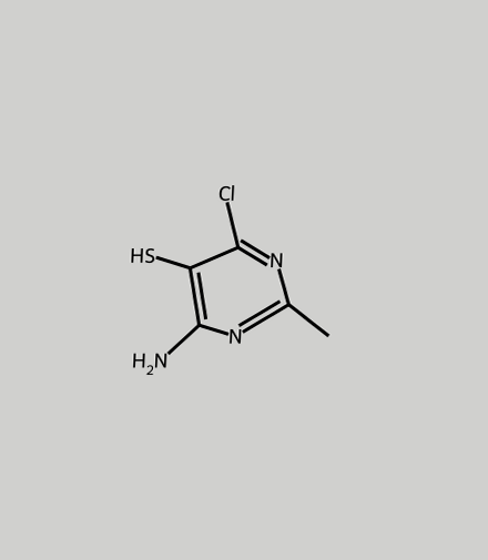 Cc1nc(N)c(S)c(Cl)n1